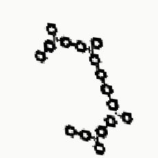 c1ccc(-c2ccc(N(c3ccccc3)c3ccc(-c4ccc(N(c5ccccc5)c5ccc(-c6ccc(-c7ccc(-c8ccc(N(c9ccccc9)c9ccc(-c%10ccc(N(c%11ccccc%11)c%11ccc(-c%12ccccc%12)cc%11)cc%10)cc9)cc8)cc7)cc6)cc5)cc4)cc3)cc2)cc1